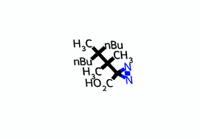 CCCCC(C)(CCCC)C(C)(C)C1(C(=O)O)N=N1